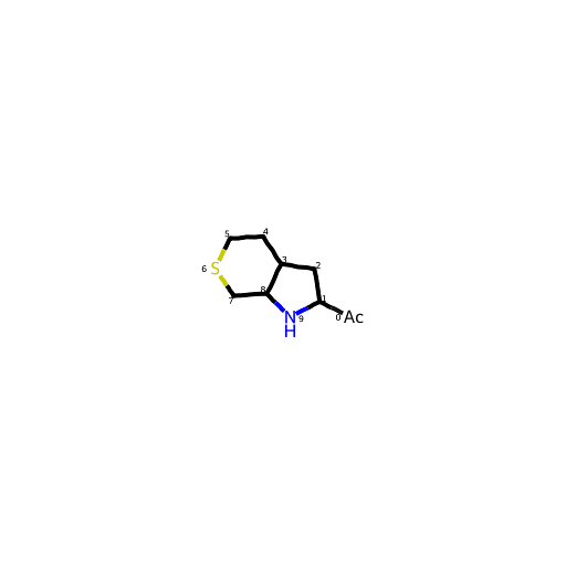 CC(=O)C1CC2CCSCC2N1